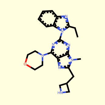 CCc1nc2ccccc2n1-c1nc(N2CCOCC2)c2nc(CC3CNC3)n(C)c2n1